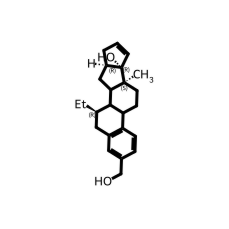 CC[C@@H]1Cc2cc(CO)ccc2C2CC[C@@]3(C)C(C[C@H]4CC=C[C@]43O)C21